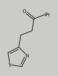 CC(C)C(=O)CCc1cscn1